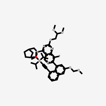 COCOc1cc(-c2ncc3c(N4CC5CCC(C5)C4)nc(OCC(OC)OC)nc3c2F)c2c(C#C[Si](C(C)C)(C(C)C)C(C)C)cccc2c1